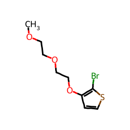 COCCOCCOc1ccsc1Br